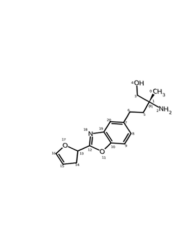 C[C@](N)(CO)CCc1ccc2oc(C3CC=CO3)nc2c1